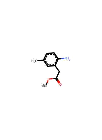 Cc1ccc(N)c(CC(=O)OC(C)(C)C)c1